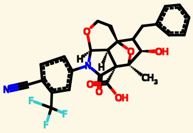 C[C@@]12O[C@@]3(CCO[C@H]4[C@@H]3[C@]1(C(=O)O)C(=O)N4c1ccc(C#N)c(C(F)(F)F)c1)C(Cc1ccccc1)[C@H]2O